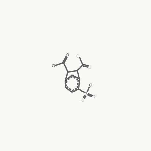 O=C(Cl)C1c2ccc(S(=O)(=O)Cl)c(c2)C1C(=O)Cl